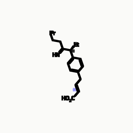 CC[C@H](C(=N)CCC(C)C)c1ccc(C/C=C/C(=O)O)cc1